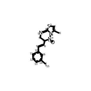 CC1=CSC2=NCC(C=Cc3cccc(I)c3)[N+](=O)N12